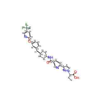 CCC(C(=O)O)n1ccc(-c2ccc(C(=O)NC3CCC(=Cc4cccc(Oc5ccc(C(F)(F)F)cn5)c4)CC3)cn2)n1